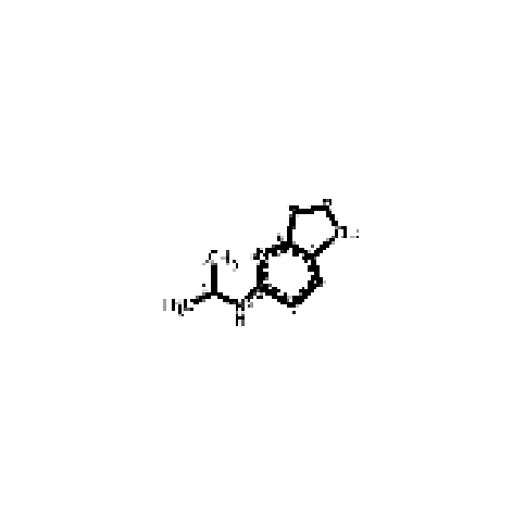 CC(C)Nc1ccc2c(n1)CCO2